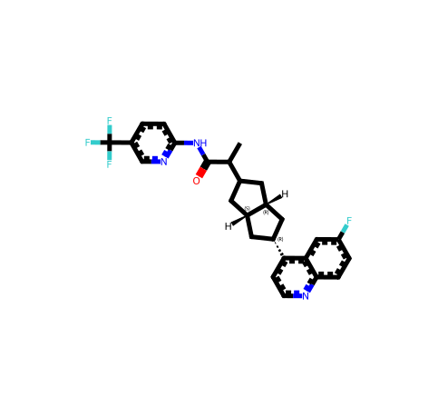 CC(C(=O)Nc1ccc(C(F)(F)F)cn1)C1C[C@@H]2C[C@H](c3ccnc4ccc(F)cc34)C[C@@H]2C1